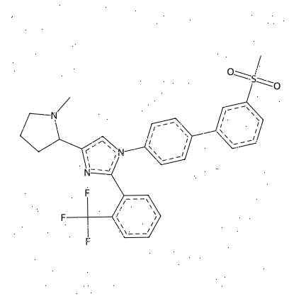 CN1CCCC1c1cn(-c2ccc(-c3cccc(S(C)(=O)=O)c3)cc2)c(-c2ccccc2C(F)(F)F)n1